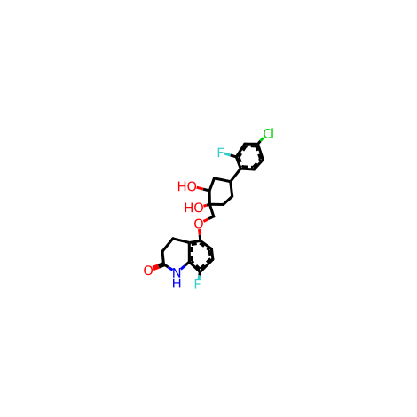 O=C1CCc2c(OCC3(O)CCC(c4ccc(Cl)cc4F)CC3O)ccc(F)c2N1